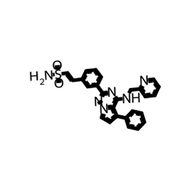 NS(=O)(=O)/C=C/c1cccc(-c2nc(NCc3ccccn3)c3c(-c4ccccc4)ccn3n2)c1